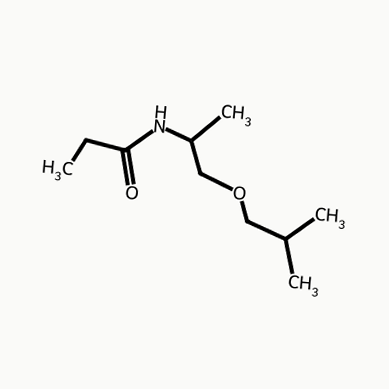 CCC(=O)NC(C)COCC(C)C